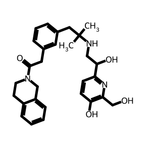 CC(C)(Cc1cccc(CC(=O)N2CCc3ccccc3C2)c1)NCC(O)c1ccc(O)c(CO)n1